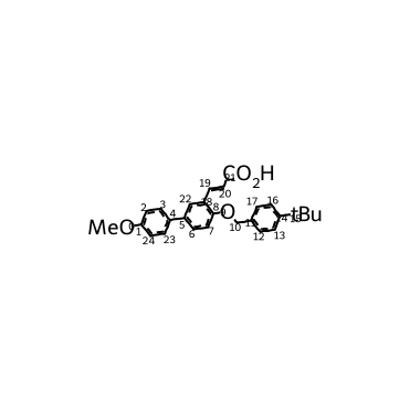 COc1ccc(-c2ccc(OCc3ccc(C(C)(C)C)cc3)c(/C=C/C(=O)O)c2)cc1